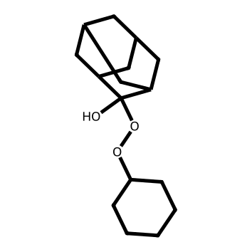 OC1(OOC2CCCCC2)C2CC3CC(C2)CC1C3